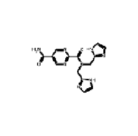 NC(=O)c1cnc(C(=O)N(Cc2ncc[nH]2)Cc2ncc[nH]2)nc1